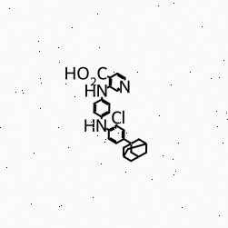 O=C(O)c1ccncc1Nc1ccc(Nc2ccc(C34CC5CC(CC(C5)C3)C4)cc2Cl)cc1